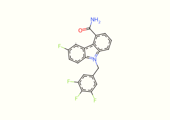 NC(=O)c1cccc2c1c1[c]c(F)ccc1n2Cc1cc(F)c(F)c(F)c1